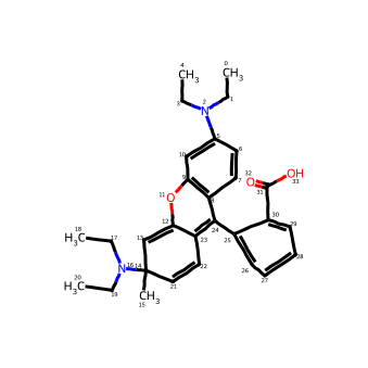 CCN(CC)c1ccc2c(c1)OC1=CC(C)(N(CC)CC)C=CC1=C2c1ccccc1C(=O)O